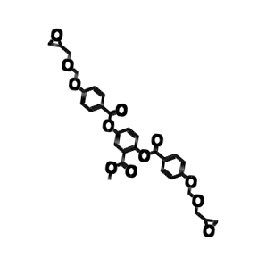 COC(=O)c1cc(OC(=O)c2ccc(OCOCC3CO3)cc2)ccc1OC(=O)c1ccc(OCOCC2CO2)cc1